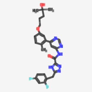 Cc1ccc(OCCCC(C)(C)O)cc1-c1cc(NC(=O)c2nnc(Cc3ccc(F)cc3F)[nH]2)ncn1